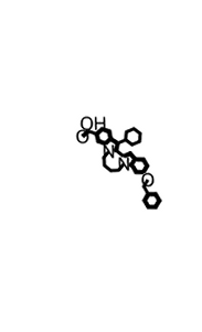 O=C(O)c1ccc2c(C3CCCCC3)c3n(c2c1)CCCCn1c-3cc2ccc(OCc3ccccc3)cc21